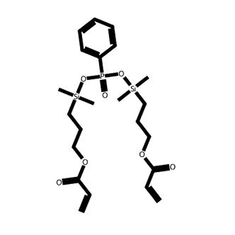 C=CC(=O)OCCC[Si](C)(C)OP(=O)(O[Si](C)(C)CCCOC(=O)C=C)c1ccccc1